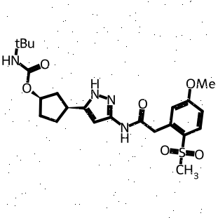 COc1ccc(S(C)(=O)=O)c(CC(=O)Nc2cc([C@H]3CC[C@@H](OC(=O)NC(C)(C)C)C3)[nH]n2)c1